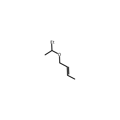 CC=CCOC(C)CC